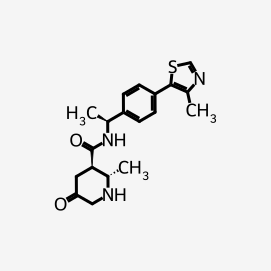 Cc1ncsc1-c1ccc([C@H](C)NC(=O)[C@@H]2CC(=O)CN[C@H]2C)cc1